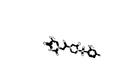 Cc1cn(CC(=O)N2CCN(S(=O)(=O)c3ccc(F)cc3[N+](=O)[O-])C(=O)C2)c(=O)[nH]c1=O